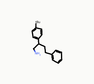 CC(C)(C)c1ccc(C(CN)CCc2ccccc2)cc1